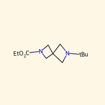 CCOC(=O)N1CC2(C1)CN(C(C)(C)C)C2